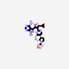 Cc1nc(-c2c(-c3nn(C(C)C)c4ncnc(N)c34)noc2C2CC2)ncc1[C@@H]1CCN(C(=O)OC(C)(C)C)C1